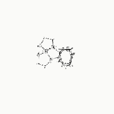 c1ccc(N2CCO[Si]23OCCN3c2ccccc2)cc1